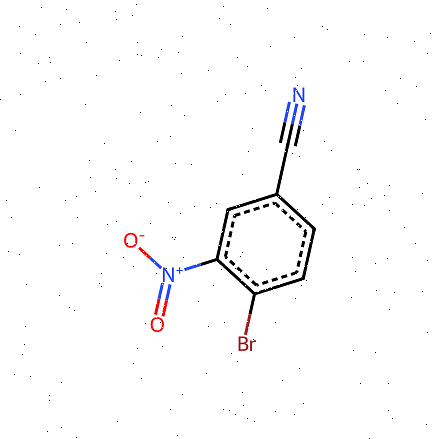 N#Cc1ccc(Br)c([N+](=O)[O-])c1